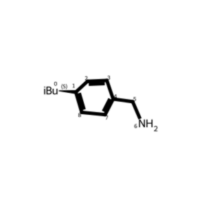 CC[C@H](C)c1ccc(CN)cc1